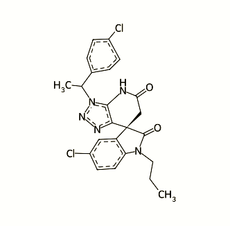 CCCN1C(=O)[C@]2(CC(=O)Nc3c2nnn3C(C)c2ccc(Cl)cc2)c2cc(Cl)ccc21